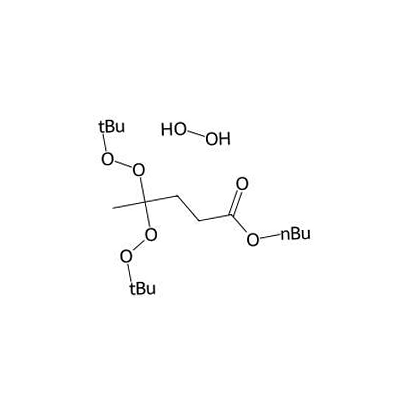 CCCCOC(=O)CCC(C)(OOC(C)(C)C)OOC(C)(C)C.OO